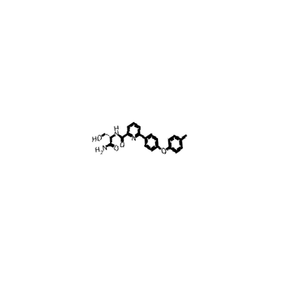 Cc1ccc(Oc2ccc(-c3cccc(C(=O)N[C@@H](CO)C(N)=O)n3)cc2)cc1